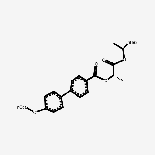 CCCCCCCCOc1ccc(-c2ccc(C(=O)O[C@@H](C)C(=O)O[C@@H](C)CCCCCC)cc2)cc1